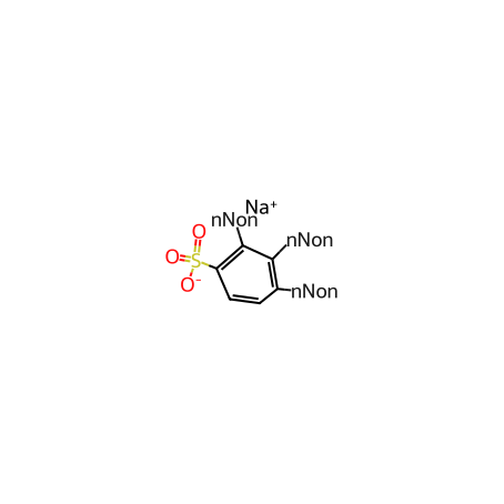 CCCCCCCCCc1ccc(S(=O)(=O)[O-])c(CCCCCCCCC)c1CCCCCCCCC.[Na+]